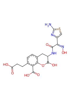 Nc1nc(C(=NO)C(=O)NC2Cc3ccc(CCC(=O)O)c(C(=O)O)c3OB2O)cs1